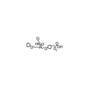 CCOC(Cc1ccc(OCCN(CCCCOc2ccccc2)C(=O)NCCOC)cc1)C(=O)O